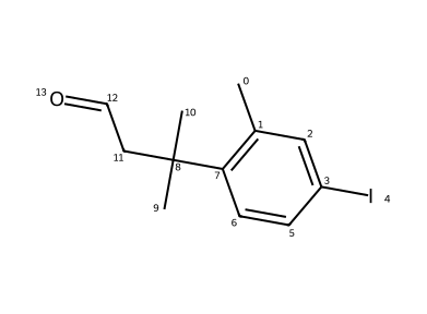 Cc1cc(I)ccc1C(C)(C)CC=O